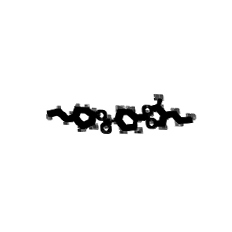 CCCC1CCC(OC(=O)[C@H]2CC[C@H]([C@H]3OCC(CCC)[C@H](C)O3)CC2)CC1